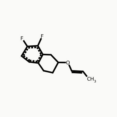 C/C=C/OC1CCc2ccc(F)c(F)c2C1